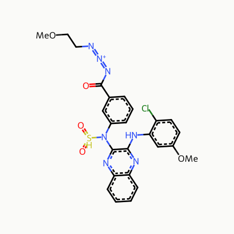 COCCN=[N+]=NC(=O)c1cccc(N(c2nc3ccccc3nc2Nc2cc(OC)ccc2Cl)[SH](=O)=O)c1